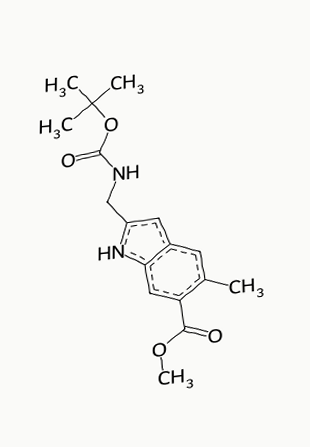 COC(=O)c1cc2[nH]c(CNC(=O)OC(C)(C)C)cc2cc1C